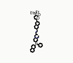 C=C(/C=c1/ccc(N(c2ccccc2)c2ccc3ccccc3c2)c/c1=C/C)/C=C/c1ccc2cc(-c3ccc(N(CC)CC)c(=O)o3)ccc2c1